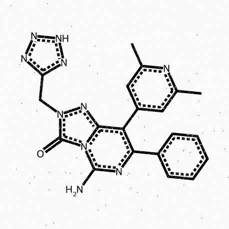 Cc1cc(-c2c(-c3ccccc3)nc(N)n3c(=O)n(Cc4nn[nH]n4)nc23)cc(C)n1